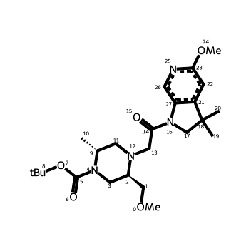 COC[C@H]1CN(C(=O)OC(C)(C)C)[C@H](C)CN1CC(=O)N1CC(C)(C)c2cc(OC)ncc21